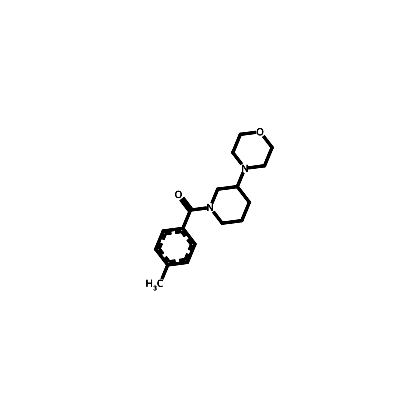 Cc1ccc(C(=O)N2CCCC(N3CCOCC3)C2)cc1